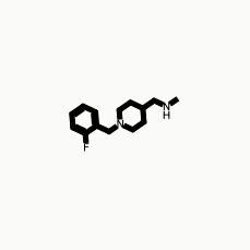 CNCC1CCN(Cc2ccccc2F)CC1